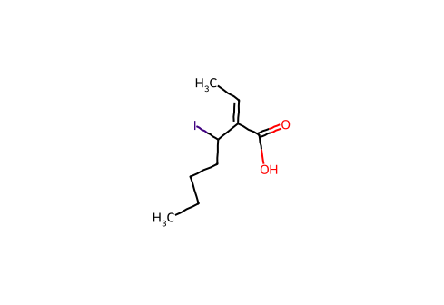 CC=C(C(=O)O)C(I)CCCC